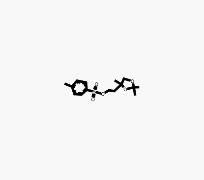 Cc1ccc(S(=O)(=O)OCCC2(C)COC(C)(C)O2)cc1